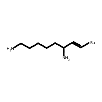 CCCCC=CC(N)CCCCCN